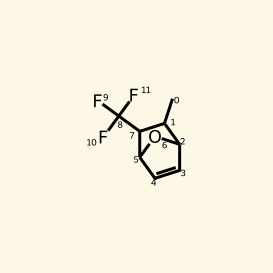 CC1C2C=CC(O2)C1C(F)(F)F